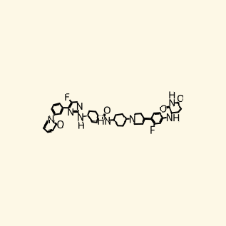 O=C1CCC(Nc2ccc(C3CCN(C4CCC(NC(=O)[C@H]5CC[C@H](Nc6ncc(F)c(-c7cccc(-n8ccccc8=O)c7)n6)CC5)CC4)CC3)c(F)c2)C(=O)N1